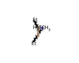 CC/C=C/CCCSSCC(CN(C)C)SSCCC/C=C/CC